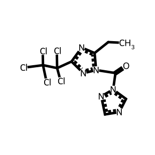 CCc1nc(C(Cl)(Cl)C(Cl)(Cl)Cl)nn1C(=O)n1cncn1